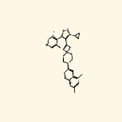 CC1=CNCC(C)=C1c1noc(C2CC2)c1C1=CC2(CCN(c3ccc4nc(C)cc(C)c4c3)CC2)C1